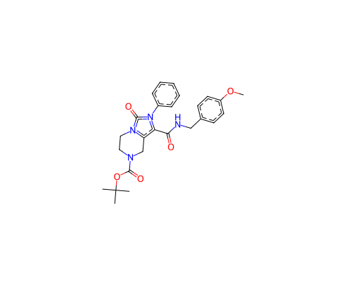 COc1ccc(CNC(=O)c2c3n(c(=O)n2-c2ccccc2)CCN(C(=O)OC(C)(C)C)C3)cc1